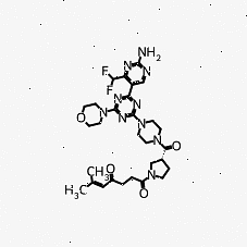 CC(C)=CC(=O)CCC(=O)N1CC[C@@H](C(=O)N2CCN(c3nc(-c4cnc(N)nc4C(F)F)nc(N4CCOCC4)n3)CC2)C1